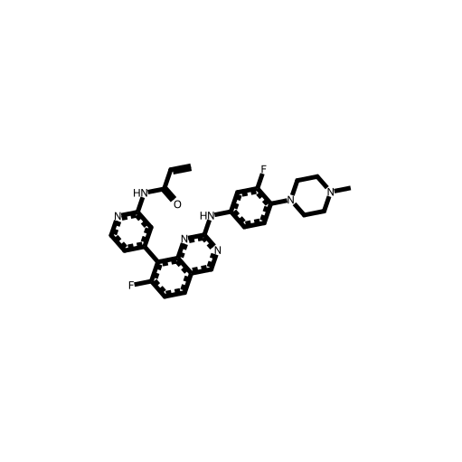 C=CC(=O)Nc1cc(-c2c(F)ccc3cnc(Nc4ccc(N5CCN(C)CC5)c(F)c4)nc23)ccn1